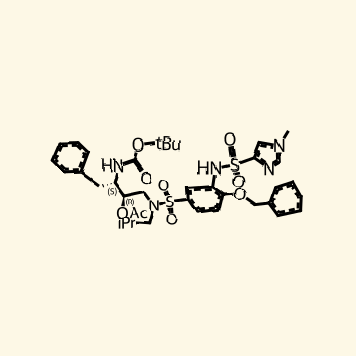 CC(=O)O[C@H](CN(CC(C)C)S(=O)(=O)c1ccc(OCc2ccccc2)c(NS(=O)(=O)c2cn(C)cn2)c1)[C@H](Cc1ccccc1)NC(=O)OC(C)(C)C